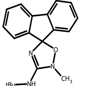 CN1OC2(N=C1NC(C)(C)C)c1ccccc1-c1ccccc12